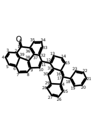 O=C1c2cccc3ccc4cc(-c5cccc6c(-c7ccccc7)c7ccccc7cc56)c5cccc1c5c4c23